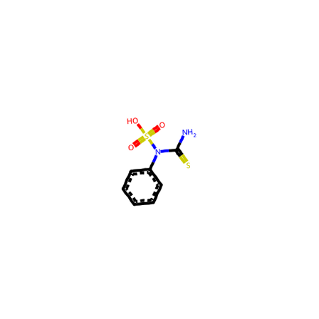 NC(=S)N(c1ccccc1)S(=O)(=O)O